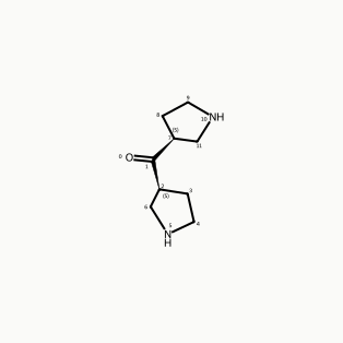 O=C([C@H]1CCNC1)[C@H]1CCNC1